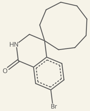 O=C1NCC2(CCCCCCCC2)c2ccc(Br)cc21